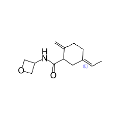 C=C1CC/C(=C\C)CC1C(=O)NC1COC1